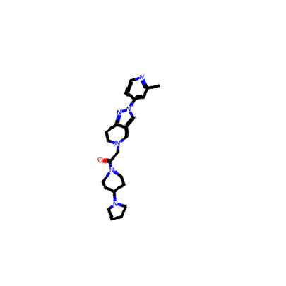 Cc1cc(-n2cc3c(n2)CCN(CC(=O)N2CCC(N4CCCC4)CC2)C3)ccn1